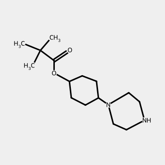 CC(C)(C)C(=O)OC1CCC(N2CCNCC2)CC1